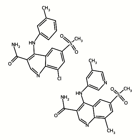 Cc1cccc(Nc2c(C(N)=O)cnc3c(Cl)cc(S(C)(=O)=O)cc23)c1.Cc1cncc(Nc2c(C(N)=O)cnc3c(C)cc(S(C)(=O)=O)cc23)c1